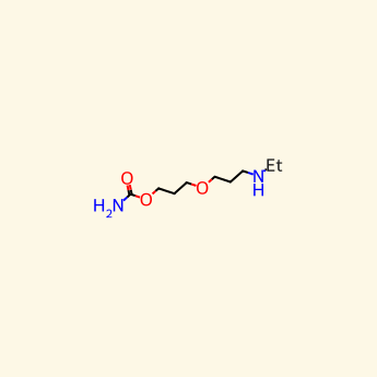 CCNCCCOCCCOC(N)=O